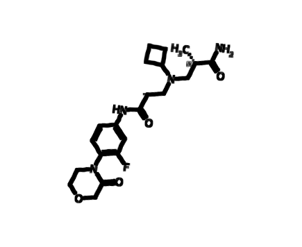 C[C@@H](CN(C[CH]C(=O)Nc1ccc(N2CCOCC2=O)c(F)c1)C1CCC1)C(N)=O